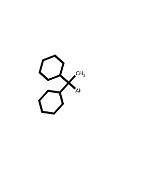 C[C]([Al])(C1CCCCC1)C1CCCCC1